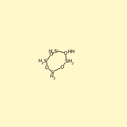 O1[SiH2]O[SiH2]O[SiH2]O[SiH2]1.[HH]